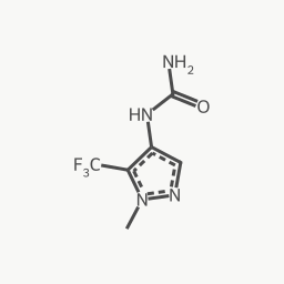 Cn1ncc(NC(N)=O)c1C(F)(F)F